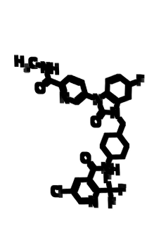 CNC(=O)c1ccc(-n2c(=O)n(CC3CCC(NC(=O)c4cc(Cl)cnc4C(F)(F)F)CC3)c3cc(F)ccc32)cn1